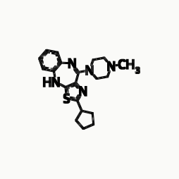 CN1CCN(C2=Nc3ccccc3Nc3sc(C4CCCC4)nc32)CC1